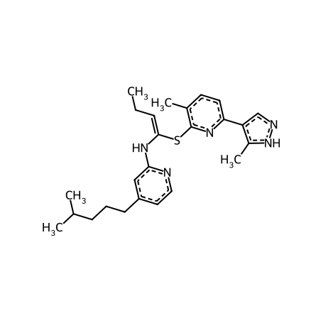 CC/C=C(\Nc1cc(CCCC(C)C)ccn1)Sc1nc(-c2cn[nH]c2C)ccc1C